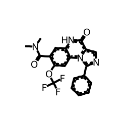 CN(C)C(=O)c1cc2[nH]c(=O)c3cnc(-c4ccccc4)n3c2cc1OC(F)(F)F